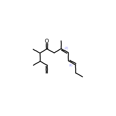 C=CC(C)C(C)C(=O)C/C(C)=C\C=C\CC